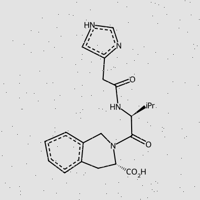 CC(C)[C@H](NC(=O)Cc1c[nH]cn1)C(=O)N1Cc2ccccc2C[C@H]1C(=O)O